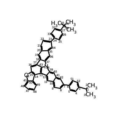 CC(C)c1ccc(-c2ccc3cc4c5c6c(cc7c8cc9ccc(-c%10ccc(C(C)(C)C)cc%10)cc9cc8n(c4cc3c2)c75)oc2ccccc26)cc1